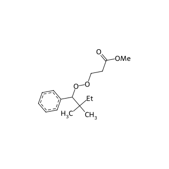 CCC(C)(C)C(OOCCC(=O)OC)c1ccccc1